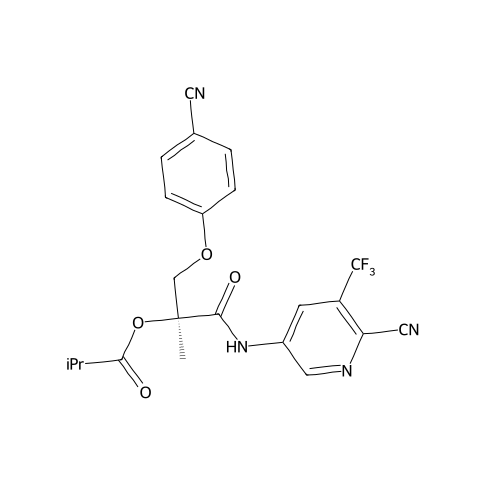 CC(C)C(=O)O[C@@](C)(COc1ccc(C#N)cc1)C(=O)Nc1cnc(C#N)c(C(F)(F)F)c1